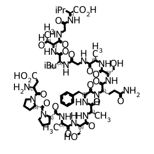 CC[C@H](C)[C@H](NC(=O)CNC(=O)[C@H](C)NC(=O)[C@H](CO)NC(=O)[C@H](CCC(N)=O)NC(=O)[C@H](Cc1ccccc1)NC(=O)[C@H](C)NC(=O)[C@H](CO)NC(=O)[C@H](C)NC(=O)[C@@H]1CCCN1C(=O)[C@@H]1CCCN1C(=O)[C@@H](N)CC(=O)O)C(=O)N[C@H](C(=O)NCC(=O)N[C@H](C(=O)O)C(C)C)[C@@H](C)O